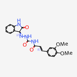 COc1ccc(/C=C/C(=O)NC(=O)N/N=C2\C(=O)Nc3ccccc32)cc1OC